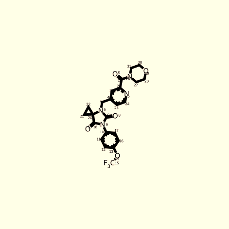 O=C(c1cc(CN2C(=O)N(c3ccc(OC(F)(F)F)cc3)C(=O)C23CC3)ccn1)N1CCOCC1